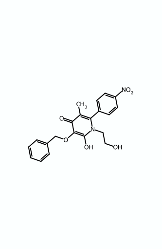 Cc1c(-c2ccc([N+](=O)[O-])cc2)n(CCO)c(O)c(OCc2ccccc2)c1=O